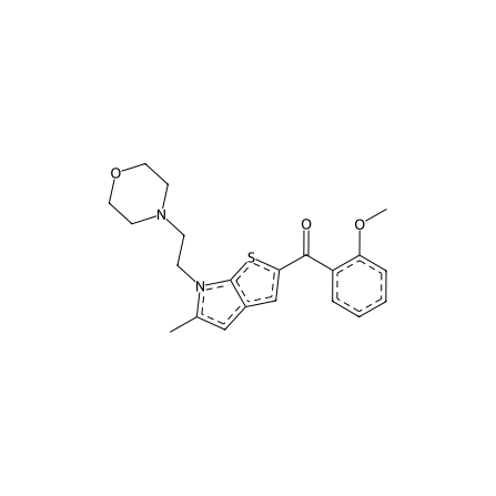 COc1ccccc1C(=O)c1cc2cc(C)n(CCN3CCOCC3)c2s1